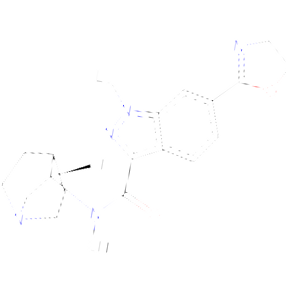 CCn1nc(C(=O)N(C)[C@@H]2CN3CCC2CC3)c2ccc(C3=NCCO3)cc21